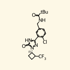 CC(C)(C)C(=O)NCc1ccc(Cl)c(-c2nn([C@H]3CCC3C(F)(F)F)c(=O)[nH]2)c1